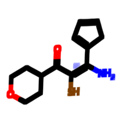 N/C(C1=CC=CC1)=C(\S)C(=O)C1CCOCC1